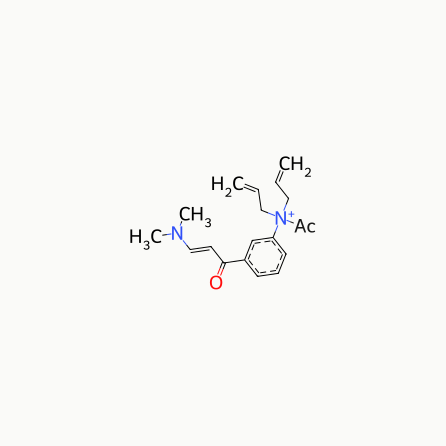 C=CC[N+](CC=C)(C(C)=O)c1cccc(C(=O)C=CN(C)C)c1